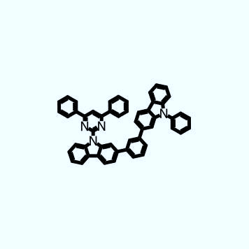 c1ccc(-c2cc(-c3ccccc3)nc(-n3c4ccccc4c4ccc(-c5cccc(-c6ccc7c8ccccc8n(-c8ccccc8)c7c6)c5)cc43)n2)cc1